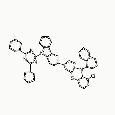 Clc1cccc2c1N(c1cccc3ccccc13)c1ccc(-c3ccc4c(c3)c3ccccc3n4-c3nc(-c4ccccc4)nc(-c4ccccc4)n3)cc1S2